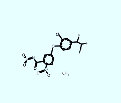 C.O=C(N=S(=O)=O)c1cc(Oc2ccc(C(F)C(F)F)cc2Cl)ccc1[N+](=O)[O-]